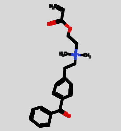 C=CC(=O)OCC[N+](C)(C)CCc1ccc(C(=O)c2ccccc2)cc1